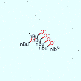 CCCC[O-].CCCC[O-].CCCC[O-].CCCC[O-].CCCC[O-].[Nb+5]